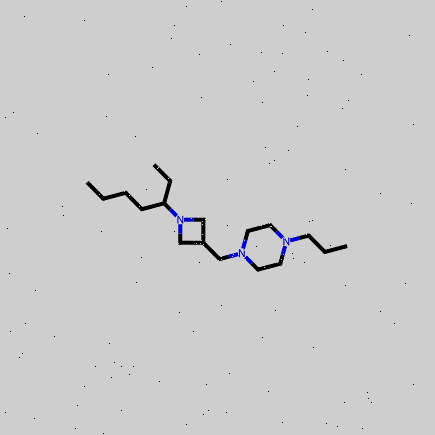 CCCCC(CC)N1CC(CN2CCN(CCC)CC2)C1